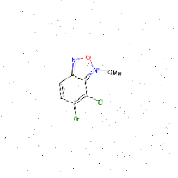 CO[n+]1onc2ccc(Br)c(Cl)c21